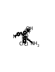 N#Cc1ccc(Cn2cc(-c3nc4cc(Cl)c(Cl)cc4n(CCCCCN)c3=O)c3ccccc32)cc1.O=C(O)C(F)(F)F